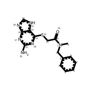 CN(Cc1ccccc1)C(=O)CSc1nc(N)nc2nc[nH]c12